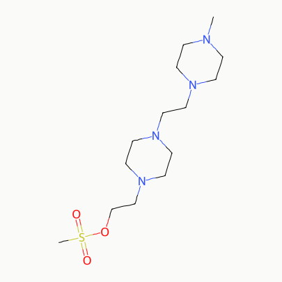 CN1CCN(CCN2CCN(CCOS(C)(=O)=O)CC2)CC1